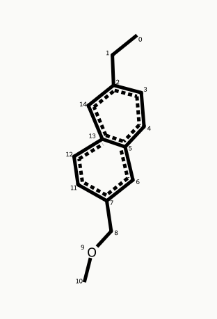 CCc1ccc2cc(COC)ccc2c1